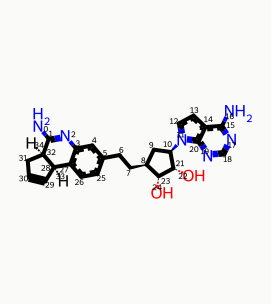 NC1=Nc2cc(CC[C@H]3C[C@@H](n4ccc5c(N)ncnc54)[C@H](O)[C@@H]3O)ccc2[C@H]2C#CC[C@@H]12